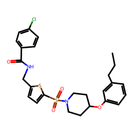 CCCc1cccc(OC2CCN(S(=O)(=O)c3ccc(CNC(=O)c4ccc(Cl)cc4)s3)CC2)c1